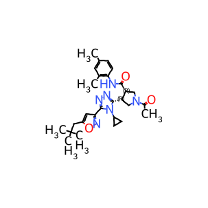 CC(=O)N1C[C@H](C(=O)Nc2ccc(C)cc2C)[C@@H](c2nnc(-c3cc(CC(C)(C)C)on3)n2C2CC2)C1